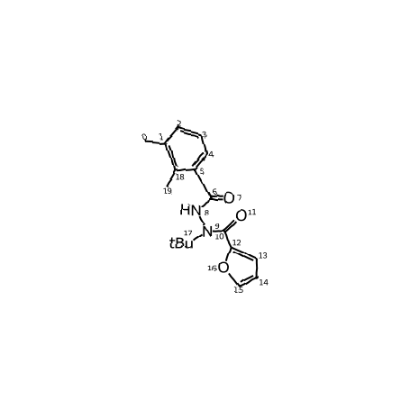 Cc1cccc(C(=O)NN(C(=O)c2ccco2)C(C)(C)C)c1C